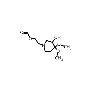 COC1(OC)CCN(CCOC=O)CC1O